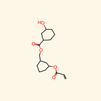 C=CC(=O)OC1CCCC(COC(=O)C2CCCC(O)C2)C1